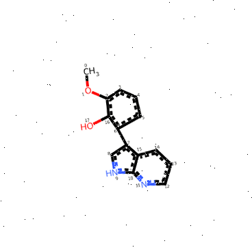 COc1cc[c]c(-c2c[nH]c3ncccc23)c1O